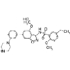 CCc1ccc(OC)c(S(=O)(=O)Nc2noc3cc(-c4cccc(N5CCNCC5)c4)cc(OC)c23)c1.Cl